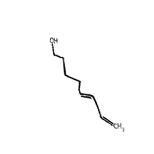 C=CC=CCCCCO